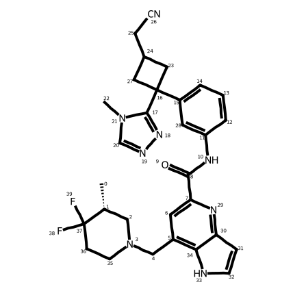 C[C@@H]1CN(Cc2cc(C(=O)Nc3cccc(C4(c5nncn5C)CC(CC#N)C4)c3)nc3cc[nH]c23)CCC1(F)F